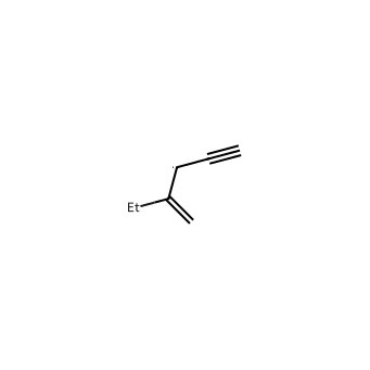 C#C[CH]C(=C)CC